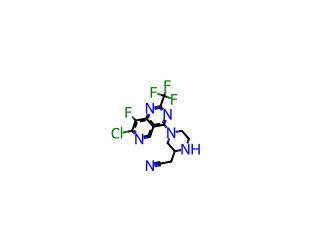 N#CCC1CN(c2nc(C(F)(F)F)nc3c(F)c(Cl)ncc23)CCN1